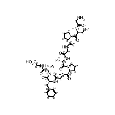 CC(C)C[C@H](NC(=O)CN)C(=O)N1CCC[C@H]1C(=O)NCC(=O)N[C@H](C(=O)N1CCC[C@H]1C(=O)NCC(=O)N[C@@H](Cc1ccccc1)C(=O)N[C@H](C(=O)NCC(=O)O)C(C)C)C(C)C